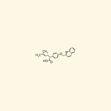 CC(C)=CCC(C(=O)O)c1ccc(OCc2ccc3ccccc3n2)cc1